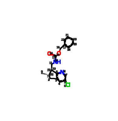 C[C@H]1Cc2cc(Cl)cnc2[C@@H]1CNC(=O)OCc1ccccc1